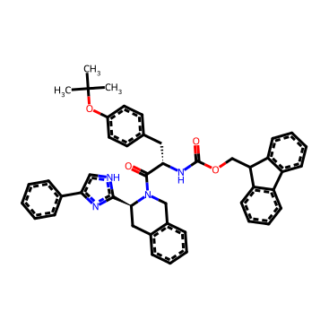 CC(C)(C)Oc1ccc(C[C@H](NC(=O)OCC2c3ccccc3-c3ccccc32)C(=O)N2Cc3ccccc3C[C@H]2c2nc(-c3ccccc3)c[nH]2)cc1